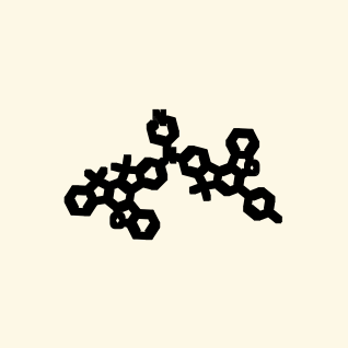 Cc1ccc(-c2cc3c(c4c2oc2ccccc24)-c2ccc(N(c4ccncc4)c4ccc5c(c4)C(C)(C)c4c6c(c7oc8ccccc8c7c4-5)-c4ccccc4C6(C)C)cc2C3(C)C)cc1